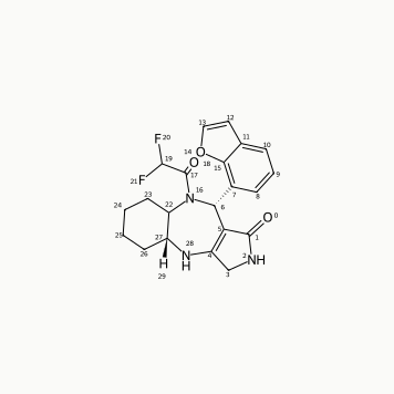 O=C1NCC2=C1[C@@H](c1cccc3ccoc13)N(C(=O)C(F)F)C1CCCC[C@H]1N2